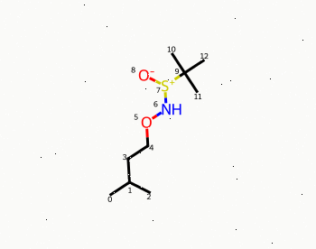 CC(C)CCON[S+]([O-])C(C)(C)C